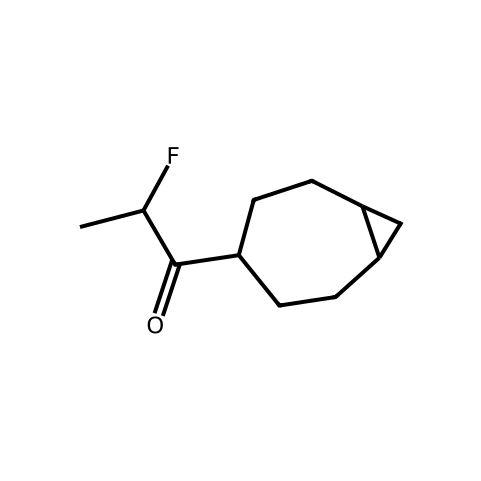 CC(F)C(=O)C1CCC2CC2CC1